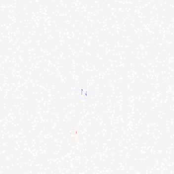 CC1=CCN(c2ccco2)C=C1